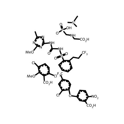 COc1c(Cl)ccc(Cl)c1C(=O)O.COc1nc(C)nc(NC(=O)NS(=O)(=O)c2ccccc2CCC(F)(F)F)n1.C[S+](C)C.O=C(O)CNCP(=O)([O-])O.O=C(O)c1cc(Oc2ccc(C(F)(F)F)cc2Cl)ccc1[N+](=O)[O-]